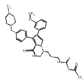 CN1CCN(Cc2ccc(-c3c(-c4cccc(OC(F)(F)F)c4)cn4c3C(=O)NC[C@@H]4CCCNC(=O)OC(=O)C(F)(F)F)cc2)CC1